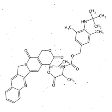 CC[C@@]1(OC(=O)C(C)NC(=O)OCc2cc(C)c(NC(C)(C)C)c(C)c2)C(=O)OCc2c1cc1n(c2=O)Cc2cc3ccccc3nc2-1